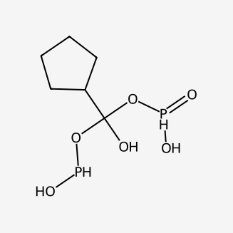 O=[PH](O)OC(O)(OPO)C1CCCC1